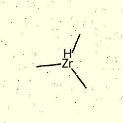 [CH3][ZrH]([CH3])[CH3]